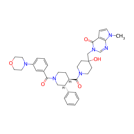 Cn1ccc2c(=O)n(CC3(O)CCN(C(=O)[C@@H]4CCN(C(=O)c5cccc(N6CCOCC6)c5)C[C@H]4c4ccccc4)CC3)cnc21